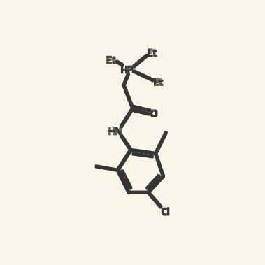 CC[PH](CC)(CC)CC(=O)Nc1c(C)cc(Cl)cc1C